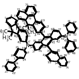 CC1(C)c2ccccc2-c2ccc(N(c3ccc(-c4ccccc4)cc3)c3ccc4c(-c5ccc6ccccc6c5)c5cc(N(c6ccccc6)c6ccccc6)ccc5c(-c5ccc6c(c5)C(C)(C)c5cccc7cccc-6c57)c4c3)cc21